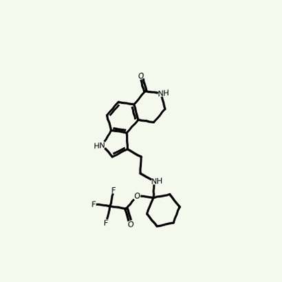 O=C1NCCc2c1ccc1[nH]cc(CCNC3(OC(=O)C(F)(F)F)CCCCC3)c21